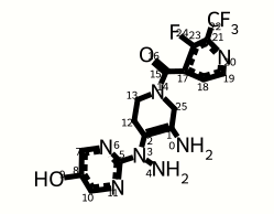 NC1=C(N(N)c2ncc(O)cn2)CCN(C(=O)c2ccnc(C(F)(F)F)c2F)C1